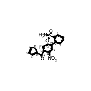 NS(=O)(=O)c1ccccc1-c1ccc(C(=O)C2=CC=CB2)c([N+](=O)[O-])c1